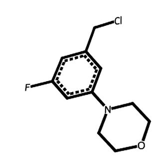 Fc1cc(CCl)cc(N2CCOCC2)c1